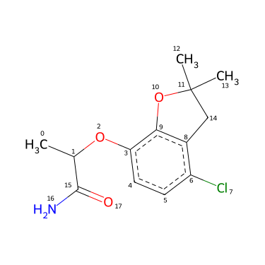 CC(Oc1ccc(Cl)c2c1OC(C)(C)C2)C(N)=O